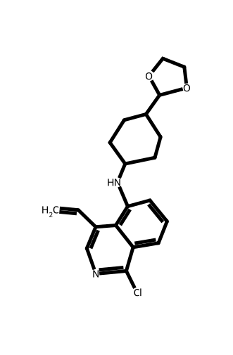 C=Cc1cnc(Cl)c2cccc(NC3CCC(C4OCCO4)CC3)c12